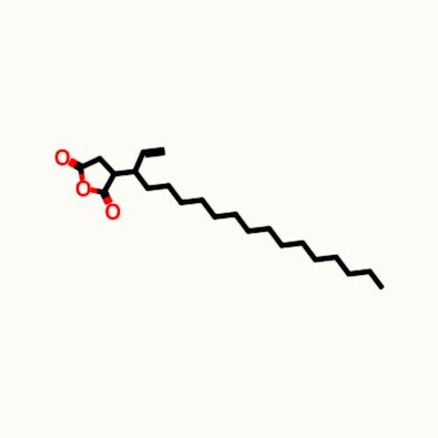 C=CC(CCCCCCCCCCCCCCC)C1CC(=O)OC1=O